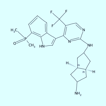 CP(C)(=O)c1cccc2c(-c3nc(NC4C[C@H]5CC(N)C[C@H]5C4)ncc3C(F)(F)F)c[nH]c12